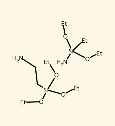 CCO[Si](CCN)(OCC)OCC.CCO[Si](N)(CC)OCC